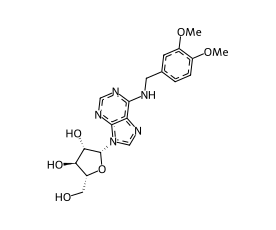 COc1ccc(CNc2ncnc3c2ncn3[C@@H]2O[C@H](CO)[C@@H](O)[C@@H]2O)cc1OC